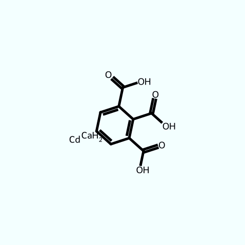 O=C(O)c1cccc(C(=O)O)c1C(=O)O.[CaH2].[Cd]